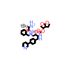 CC(C)(C)C(N)C(=O)NN(Cc1ccccc1)CC(O)C(Cc1ccc(-c2cccnc2)cc1)NC(=O)OC1COC2OCCC12